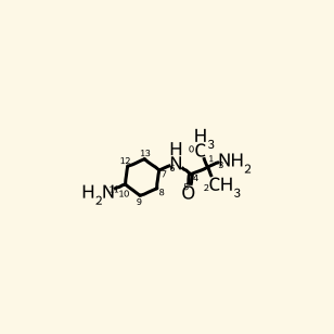 CC(C)(N)C(=O)NC1CCC(N)CC1